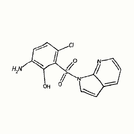 Nc1ccc(Cl)c(S(=O)(=O)n2ccc3cccnc32)c1O